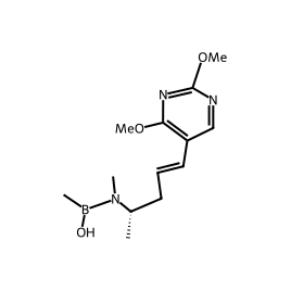 COc1ncc(/C=C/C[C@H](C)N(C)B(C)O)c(OC)n1